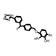 CCCc1c(OCc2ccc(C(F)c3cccc(-c4nnn[nH]4)c3)cc2)ccc(C(C)=O)c1O